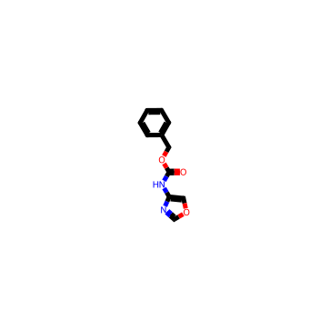 O=C(Nc1cocn1)OCc1ccccc1